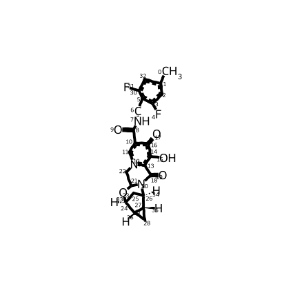 Cc1cc(F)c(CNC(=O)c2cn3c(c(O)c2=O)C(=O)N2C(C3)O[C@H]3C[C@@H]2[C@@H]2C[C@@H]23)c(F)c1